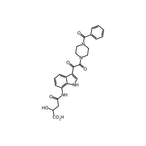 O=C(CC(O)C(=O)O)Nc1cccc2c(C(=O)C(=O)N3CCN(C(=O)c4ccccc4)CC3)c[nH]c12